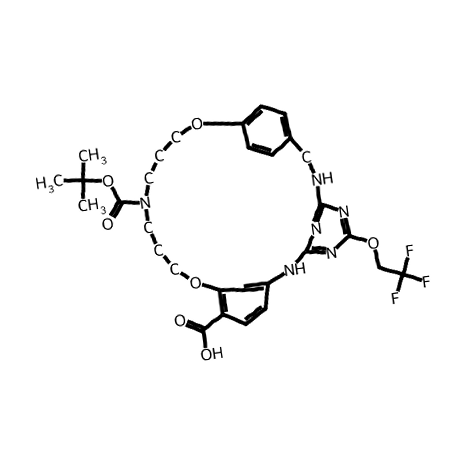 CC(C)(C)OC(=O)N1CCCOc2ccc(cc2)CNc2nc(nc(OCC(F)(F)F)n2)Nc2ccc(C(=O)O)c(c2)OCCC1